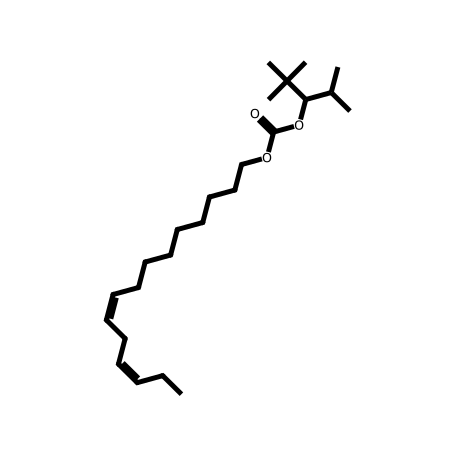 CC/C=C\C/C=C\CCCCCCCCOC(=O)OC(C(C)C)C(C)(C)C